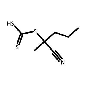 CCCC(C)(C#N)SC(=S)S